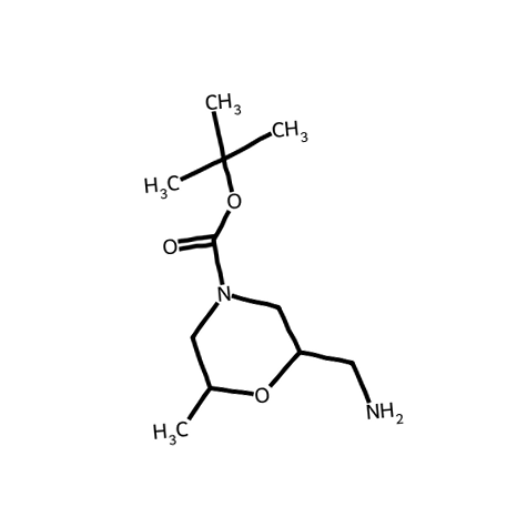 CC1CN(C(=O)OC(C)(C)C)CC(CN)O1